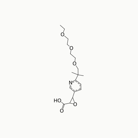 CCOCCOCCOCC(C)(C)c1ccc(C2OC2C(=O)O)cn1